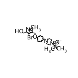 CN(C)[S+]([O-])N1CCN(c2ccc(OCc3c(Br)c(CO)nn3C)cc2)CC1